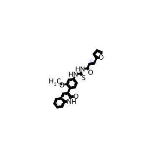 COc1cc(NC(=S)NC(=O)/C=C/c2ccco2)ccc1-c1cc2ccccc2[nH]c1=O